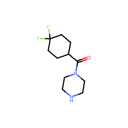 O=C(C1CCC(F)(F)CC1)N1CCNCC1